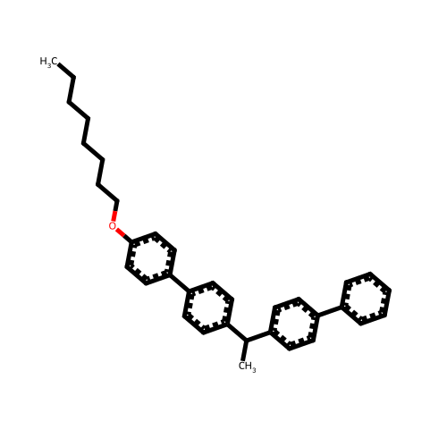 CCCCCCCCOc1ccc(-c2ccc(C(C)c3ccc(-c4ccccc4)cc3)cc2)cc1